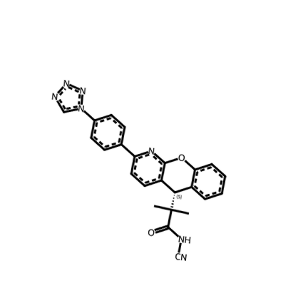 CC(C)(C(=O)NC#N)[C@H]1c2ccccc2Oc2nc(-c3ccc(-n4cnnn4)cc3)ccc21